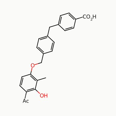 CC(=O)c1ccc(OCc2ccc(Cc3ccc(C(=O)O)cc3)cc2)c(C)c1O